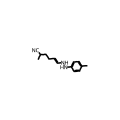 Cc1ccc(NNC=CCCC(C)C#N)cc1